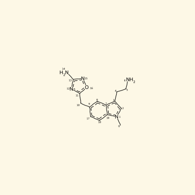 Cn1cc(CCN)c2cc(Cc3nc(N)no3)ccc21